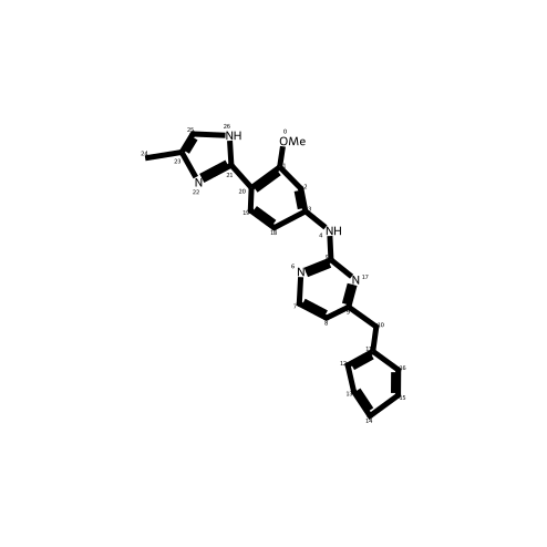 COc1cc(Nc2nccc(Cc3ccccc3)n2)ccc1-c1nc(C)c[nH]1